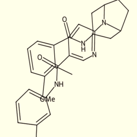 COc1cccc(C(=O)NC2CC3CCC(C2)N3c2ccc(C(=O)Nc3cccc(C)c3)cn2)c1C